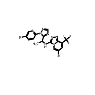 CC(Nc1nnc2c(C(F)(F)F)cc(Br)cn12)c1ncnn1-c1ccc(Br)cn1